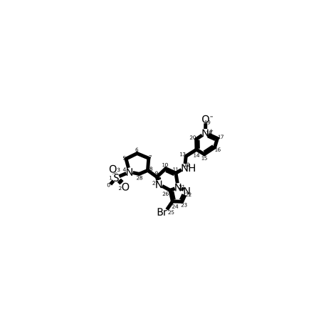 CS(=O)(=O)N1CCCC(c2cc(NCc3ccc[n+]([O-])c3)n3ncc(Br)c3n2)C1